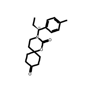 CC[C@@H](c1ccc(C)cc1)N1CCC2(CCC(=O)CC2)OC1=O